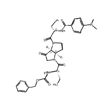 CC(C)C[C@H](NC(=O)c1ccc(N(C)C)cc1)C(=O)N1CC[C@@H]2[C@H]1C(=O)CN2C(=O)[C@H](CO)NC(=O)OCc1ccccc1